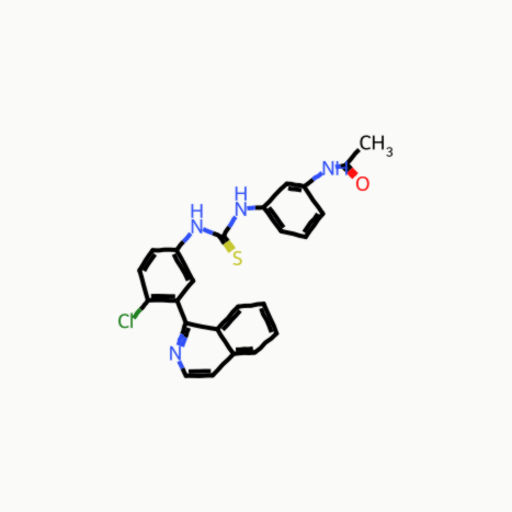 CC(=O)Nc1cccc(NC(=S)Nc2ccc(Cl)c(-c3nccc4ccccc34)c2)c1